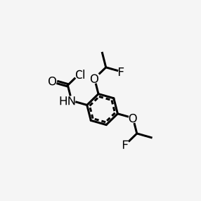 CC(F)Oc1ccc(NC(=O)Cl)c(OC(C)F)c1